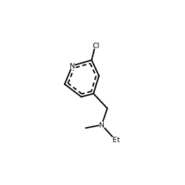 CCN(C)Cc1ccnc(Cl)c1